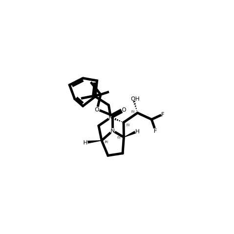 CC(C)(C)OC(=O)N1[C@@H]2CC[C@H]1[C@@H]([C@H](O)C(F)F)N(Cc1ccccc1)C2